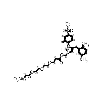 Cc1ccc(C)c(CC2=CN(COC(=O)CCOCCOCCOCCO[N+](=O)[O-])NN2c2ccc(S(N)(=O)=O)cc2F)c1